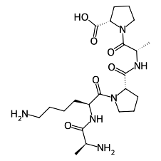 C[C@H](N)C(=O)N[C@@H](CCCCN)C(=O)N1CCC[C@H]1C(=O)N[C@@H](C)C(=O)N1CCC[C@H]1C(=O)O